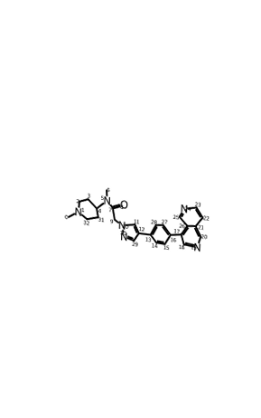 CN1CCC(N(C)C(=O)Cn2cc(-c3ccc(-c4cncc5ccncc45)cc3)cn2)CC1